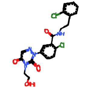 O=C(NCCc1ccccc1Cl)c1cc(-n2ncc(=O)n(CCO)c2=O)ccc1Cl